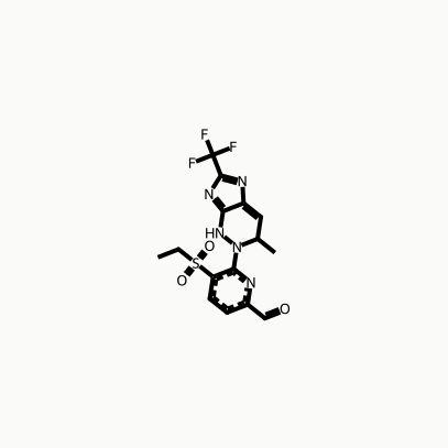 CCS(=O)(=O)c1ccc(C=O)nc1N1NC2=NC(C(F)(F)F)=NC2=CC1C